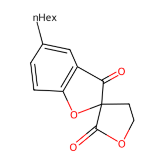 CCCCCCc1ccc2c(c1)C(=O)C1(CCOC1=O)O2